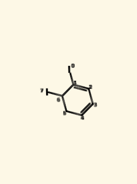 IC1=CC=CCC1I